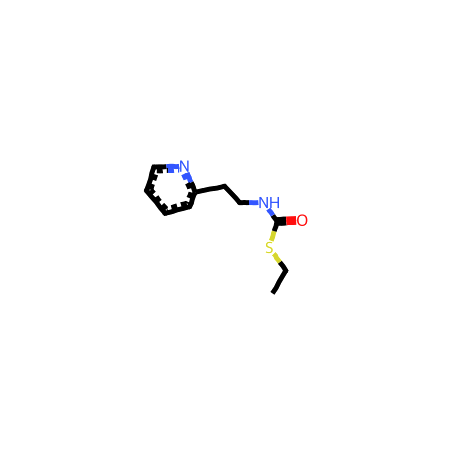 CCSC(=O)NCCc1ccccn1